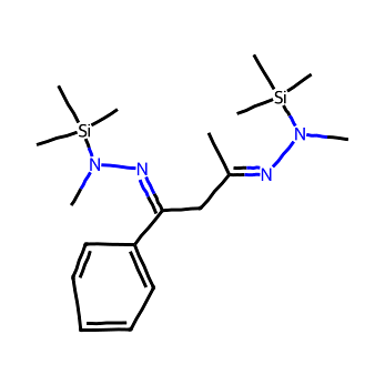 CC(CC(=NN(C)[Si](C)(C)C)c1ccccc1)=NN(C)[Si](C)(C)C